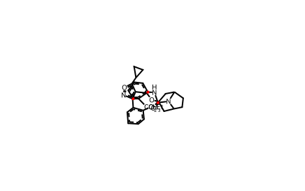 CCOC(=O)c1ccccc1NC(=O)N1C2CCC1CC(OCc1c(-c3ccccc3C)noc1C1CC1)C2